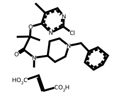 Cc1cnc(Cl)nc1OC(C)(C)C(=O)N(C)C1CCN(Cc2ccccc2)CC1.O=C(O)C=CC(=O)O